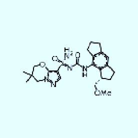 COC[C@H]1CCc2cc3c(c(NC(=O)N=[S@](N)(=O)c4cnn5c4OCC(C)(C)C5)c21)CCC3